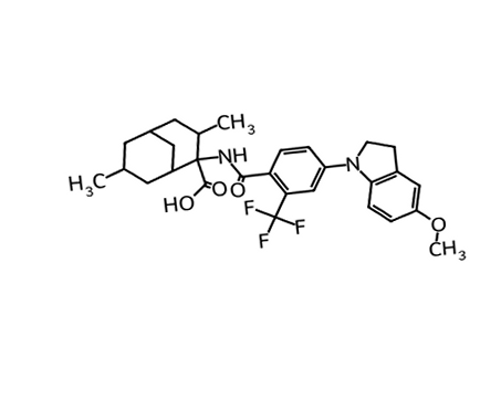 COc1ccc2c(c1)CCN2c1ccc(C(=O)NC2(C(=O)O)C(C)CC3CC(C)CC2C3)c(C(F)(F)F)c1